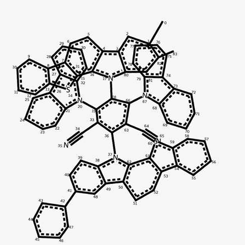 Cc1cc2c3ccc4c5ccccc5sc4c3n(-c3c(-n4c5ccccc5c5ccccc54)c(C#N)c(-n4c5ccc(-c6ccccc6)cc5c5ccc6c7ccccc7sc6c54)c(C#N)c3-n3c4ccccc4c4ccccc43)c2cc1C